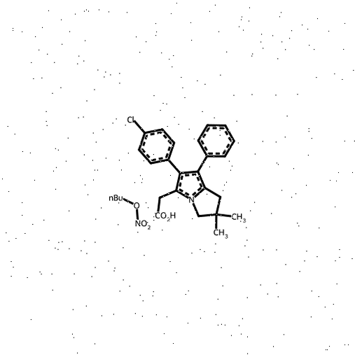 CC1(C)Cc2c(-c3ccccc3)c(-c3ccc(Cl)cc3)c(CC(=O)O)n2C1.CCCCO[N+](=O)[O-]